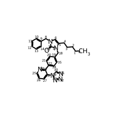 CCCCCc1cn(Cc2ccccc2)c(=O)n1Cc1ccc(-c2ncccc2-n2cnnn2)cc1